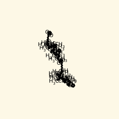 CC[C@H](C)[C@@H]([C@@H](CC(=O)N1CCC[C@H]1[C@H](OC)[C@@H](C)C(=O)N[C@@H](Cc1ccccc1)C(=O)OC(C)(C)CC1=CC(=O)N(CCCCCCNC(C)(C)C(=O)N[C@H](C(=O)N(C)[C@H](C(CC(=O)N2CCC[C@H]2[C@H](OC)[C@@H](C)C(=O)N[C@@H](Cc2ccccc2)c2nccs2)OC)[C@@H](C)CC)C(C)C)C1=O)OC)N(C)C(=O)[C@@H](NC(=O)C(C)(C)NC(=O)CCCCCN1C(=O)C=CC1=O)C(C)C